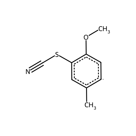 COc1c[c]c(C)cc1SC#N